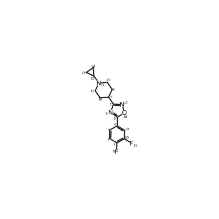 Fc1ccc(-c2nc(C3CCN(C4CC4)CC3)no2)cc1F